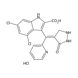 Cl.O=C1NNCC1=C(c1ccccn1)c1c(C(=O)O)[nH]c2cc(Cl)cc(Cl)c12